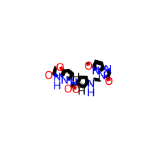 COc1ccc2ncc(=O)n(CCN[C@@H]3CC[C@@H]4[C@@H](C3)OC(=O)N4c3ccc4c(n3)NC(=O)CO4)c2n1